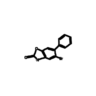 O=C1[N]c2cc(Br)c(-c3ccccc3)cc2O1